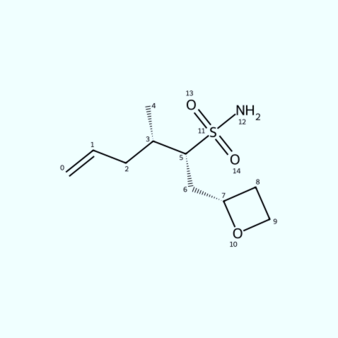 C=CC[C@H](C)[C@@H](C[C@@H]1CCO1)S(N)(=O)=O